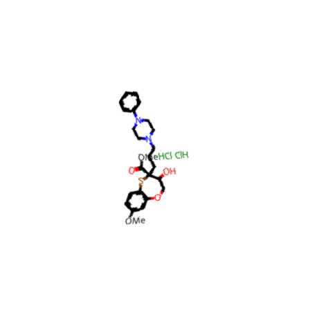 COC(=O)C1(CCCN2CCN(c3ccccc3)CC2)Sc2ccc(OC)cc2OCC1O.Cl.Cl